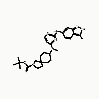 Cc1c2ccc(Nc3nccc(N(C)C4CCC5(CC4)CCN(C(=O)OC(C)(C)C)C5)n3)cc2nn1C